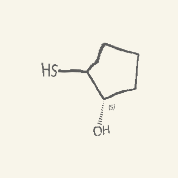 O[C@H]1CCCC1S